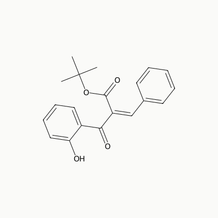 CC(C)(C)OC(=O)C(=Cc1ccccc1)C(=O)c1ccccc1O